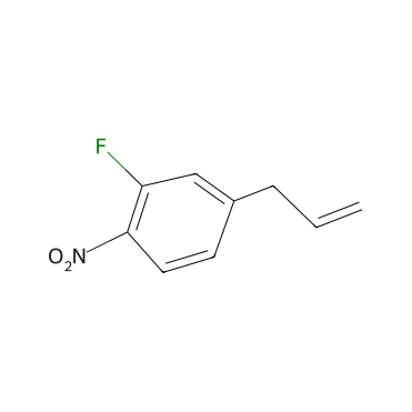 C=CCc1ccc([N+](=O)[O-])c(F)c1